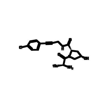 CC(C)(C)[C@H](N)C(=O)N1C[C@H](O)C[C@H]1C(=O)NCC#Cc1ccc(Cl)cc1